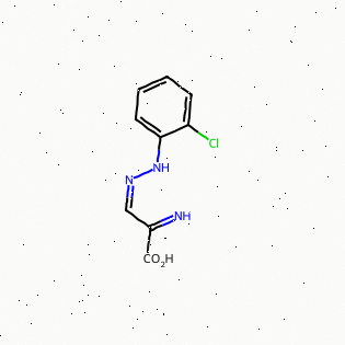 N=C(/C=N\Nc1ccccc1Cl)C(=O)O